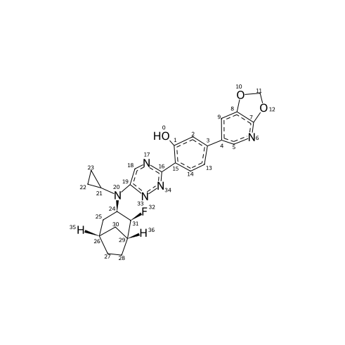 Oc1cc(-c2cnc3c(c2)OCO3)ccc1-c1ncc(N(C2CC2)[C@@H]2C[C@H]3CC[C@H](C3)[C@@H]2F)nn1